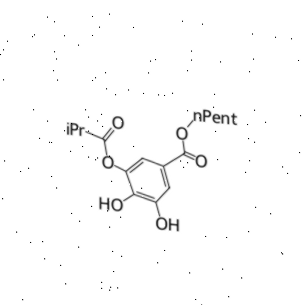 CCCCCOC(=O)c1cc(O)c(O)c(OC(=O)C(C)C)c1